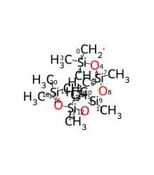 [CH2][Si](C)(C)O[Si](C)(C)O[Si](C)(C)O[Si](C)(C)O[Si](C)(C)C